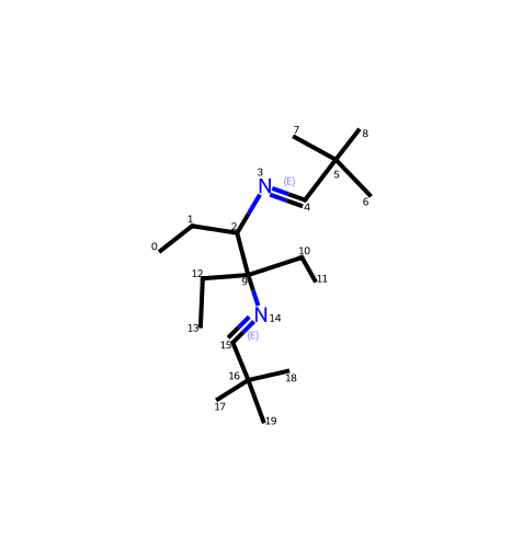 CCC(/N=C/C(C)(C)C)C(CC)(CC)/N=C/C(C)(C)C